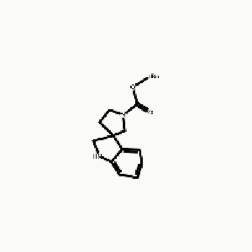 CC(C)(C)OC(=O)N1CCC2(CNc3ccccc32)C1